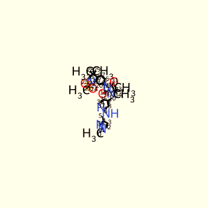 Cn1ccc(CNc2cc(CN3C(=O)N(c4ccc5c(c4)N(S(C)(=O)=O)CC5(C)C)C(=O)C3(C)C)ccn2)n1